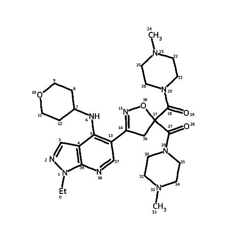 CCn1ncc2c(NC3CCOCC3)c(C3=NOC(C(=O)N4CCN(C)CC4)(C(=O)N4CCN(C)CC4)C3)cnc21